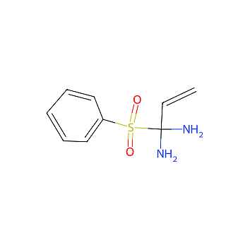 C=CC(N)(N)S(=O)(=O)c1ccccc1